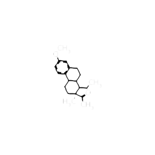 CCC1C2CCc3cc(OC)ccc3C2CC[C@]1(C)C(C)=O